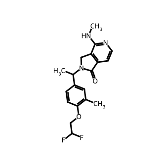 CNc1nccc2c1CN(C(C)c1ccc(OCC(F)F)c(C)c1)C2=O